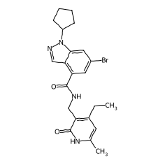 CCc1cc(C)[nH]c(=O)c1CNC(=O)c1cc(Br)cc2c1cnn2C1CCCC1